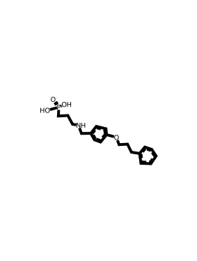 O=P(O)(O)CCCNCc1ccc(OCCCc2ccccc2)cc1